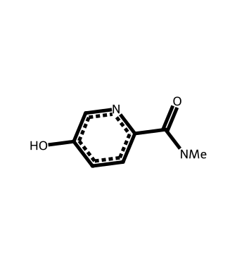 CNC(=O)c1ccc(O)cn1